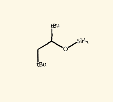 CC(C)(C)CC(O[SiH3])C(C)(C)C